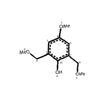 COCc1cc(OC)cc(COC)c1O